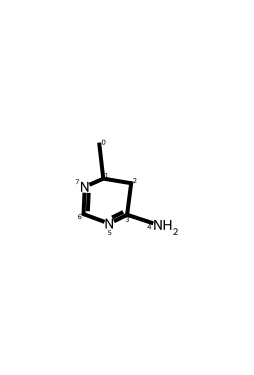 CC1CC(N)=NC=N1